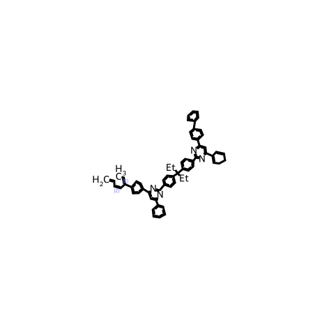 C=C/C=C\C(=C/C)c1ccc(-c2cc(-c3ccccc3)nc(-c3ccc(C(CC)(CC)c4ccc(-c5nc(C6=CCCC=C6)cc(-c6ccc(-c7ccccc7)cc6)n5)cc4)cc3)n2)cc1